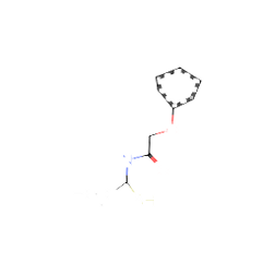 O=C(COc1ccccc1)NC(S)C(=O)O